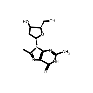 Cc1nc2c(=O)[nH]c(N)nc2n1[C@H]1CC(O)[C@@H](CO)O1